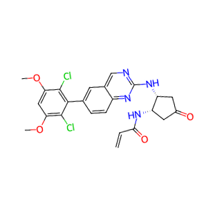 C=CC(=O)N[C@H]1CC(=O)C[C@H]1Nc1ncc2cc(-c3c(Cl)c(OC)cc(OC)c3Cl)ccc2n1